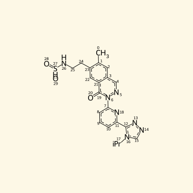 Cc1cc2cnn(-c3cccc(-c4nncn4C(C)C)n3)c(=O)c2cc1CCN[SH](=O)=O